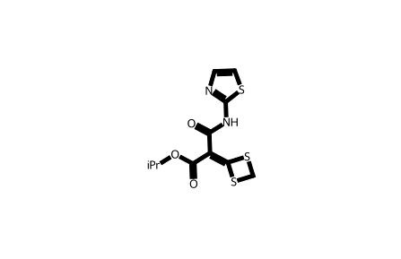 CC(C)OC(=O)C(C(=O)Nc1nccs1)=C1SCS1